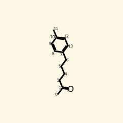 CC(=O)CCCCc1ccc(C)cc1